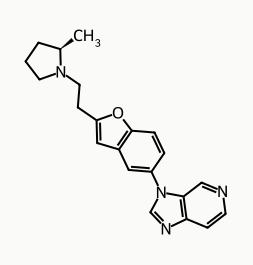 C[C@@H]1CCCN1CCc1cc2cc(-n3cnc4ccncc43)ccc2o1